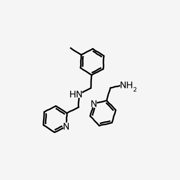 Cc1cccc(CNCc2ccccn2)c1.NCc1ccccn1